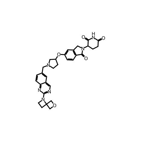 O=C1CCC(N2Cc3cc(OC4CCN(Cc5ccc6nc(N7CCC78COC8)ncc6c5)C4)ccc3C2=O)C(=O)N1